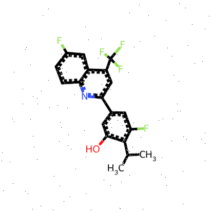 CC(C)c1c(O)cc(-c2cc(C(F)(F)F)c3cc(F)ccc3n2)cc1F